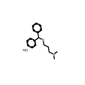 CN(C)CCCOC(c1ccccc1)c1ccccc1.Cl